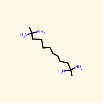 CC(N)(N)CCCCCCCCC(C)(N)N